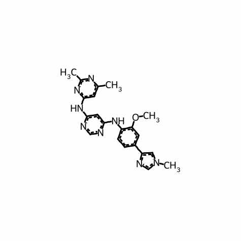 COc1cc(-c2cn(C)cn2)ccc1Nc1cc(Nc2cc(C)nc(C)n2)ncn1